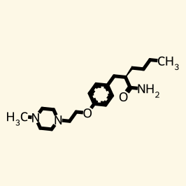 CCCC[C@H](Cc1ccc(OCCN2CCN(C)CC2)cc1)C(N)=O